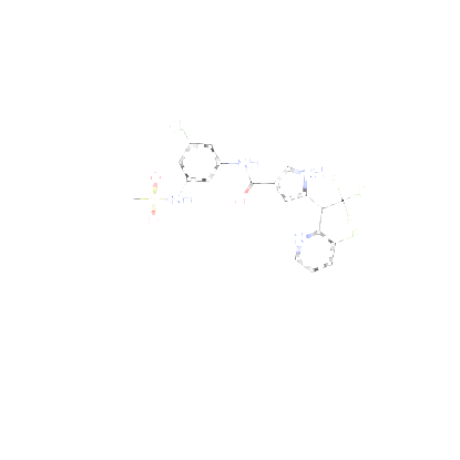 CS(=O)(=O)Nc1cc(Cl)cc(NC(=O)c2c[nH]c(C(c3ncccc3F)C(F)(F)F)c2)c1